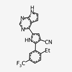 CCc1ccc(C(F)(F)F)cc1-c1[nH]c(-c2ncnc3[nH]ccc23)cc1C#N